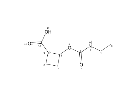 CCNC(=O)OC1CCN1C(=O)O